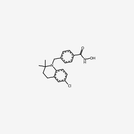 CC1(C)CCc2cc(Cl)ccc2N1Cc1ccc(C(=O)NO)cc1